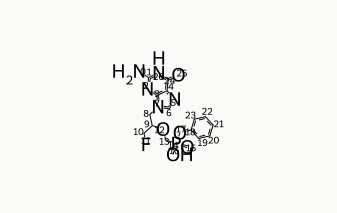 Nc1nc2c(ncn2CC(CF)OCP(=O)(O)Oc2ccccc2)c(=O)[nH]1